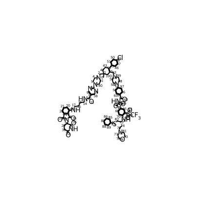 CC1(CN2CCN(c3ncc(C(=O)NCCCCNc4cccc5c4C(=O)N(C4CCC(=O)NC4=O)C5=O)cn3)CC2)CCC(c2ccc(Cl)cc2)=C(CN2CCN(c3ccc(C(=O)NS(=O)(=O)c4ccc(N[C@H](CCN5CCOCC5)CSc5ccccc5)c(S(=O)(=O)C(F)(F)F)c4)cc3)CC2)C1